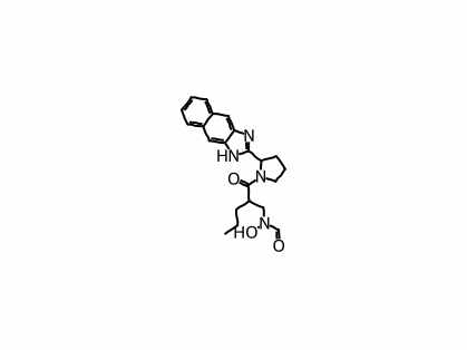 CCCC(CN(O)C=O)C(=O)N1CCCC1c1nc2cc3ccccc3cc2[nH]1